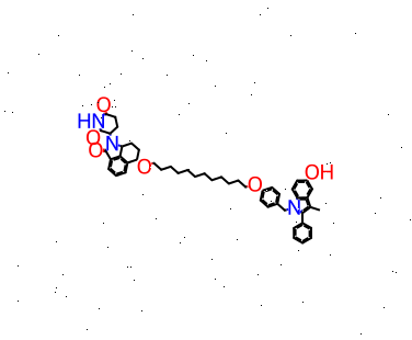 Cc1c(-c2ccccc2)n(Cc2ccc(OCCCCCCCCCCCCOC3CCC4c5c(cccc53)C(=O)N4C3CCC(=O)NC3=O)cc2)c2ccc(O)cc12